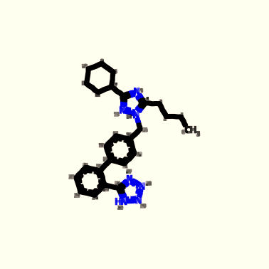 CCCCc1nc(C2CCCCC2)nn1Cc1ccc(-c2ccccc2-c2nnn[nH]2)cc1